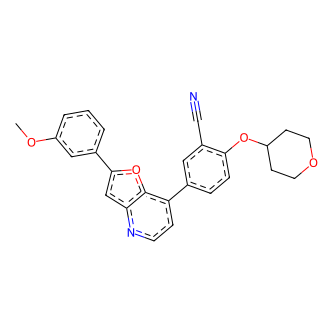 COc1cccc(-c2cc3nccc(-c4ccc(OC5CCOCC5)c(C#N)c4)c3o2)c1